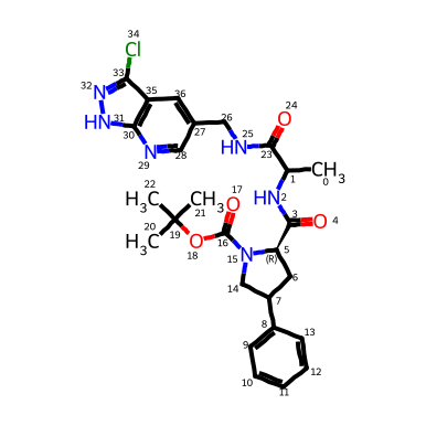 CC(NC(=O)[C@H]1CC(c2ccccc2)CN1C(=O)OC(C)(C)C)C(=O)NCc1cnc2[nH]nc(Cl)c2c1